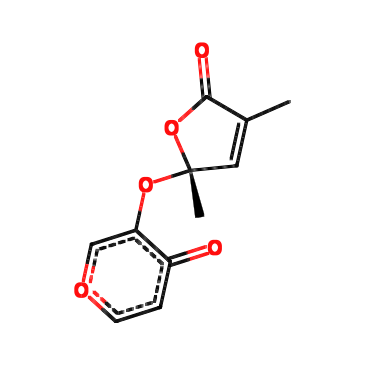 CC1=C[C@](C)(Oc2coccc2=O)OC1=O